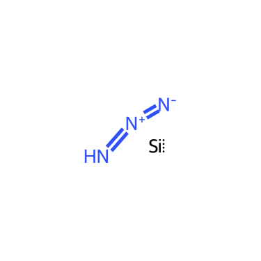 [N-]=[N+]=N.[Si]